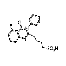 O=c1c2c(F)cccc2nc(CCCCS(=O)(=O)O)n1-c1ccccc1